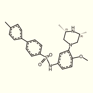 COc1ccc(NS(=O)(=O)c2ccc(-c3ccc(C)cc3)cc2)cc1N1C[C@@H](C)N[C@@H](C)C1